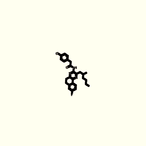 CCCCC(C)Cc1nc2c(nc1NC(=O)Cc1ccc(Cl)cc1)CCc1cc(F)ccc1-2